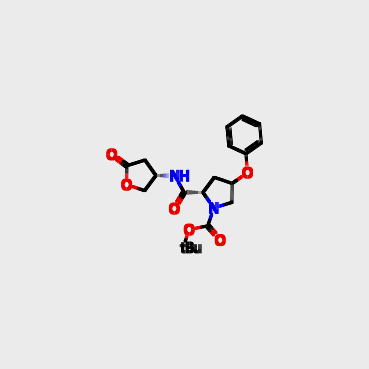 CC(C)(C)OC(=O)N1CC(Oc2ccccc2)C[C@H]1C(=O)N[C@@H]1COC(=O)C1